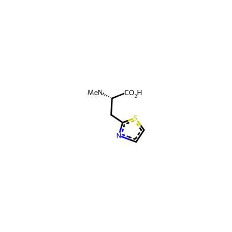 CN[C@@H](Cc1nccs1)C(=O)O